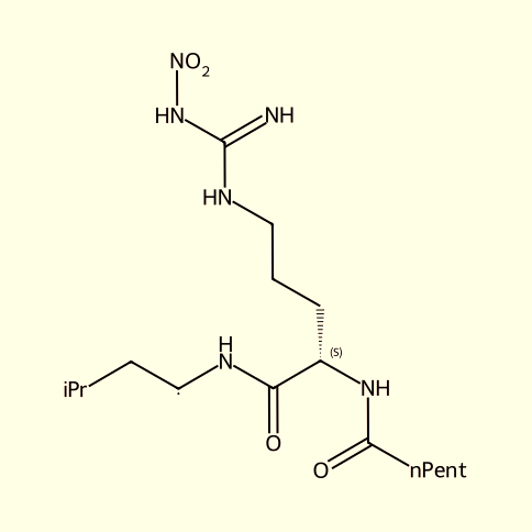 CCCCCC(=O)N[C@@H](CCCNC(=N)N[N+](=O)[O-])C(=O)N[CH]CC(C)C